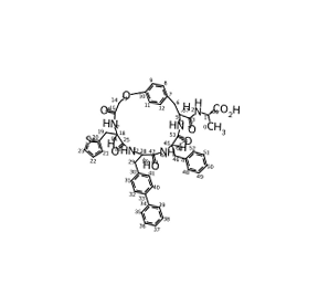 C[C@@H](NC(=O)[C@@H]1Cc2ccc(cc2)OCC(=O)N[C@@H](Cc2cccs2)C(=O)N[C@H](Cc2ccc(-c3ccccc3)cc2)C(=O)N[C@@H](Cc2ccccc2)C(=O)N1)C(=O)O